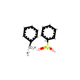 O=S(=O)(O)c1ccccc1.O=[S-](=O)c1ccccc1.[K+]